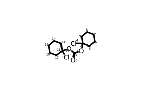 O=C(OC1(Cl)CCCCC1)OC1(Cl)CCCCC1